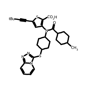 CC1CCC(C(=O)N(c2cc(C#CC(C)(C)C)sc2C(=O)O)C2CCC(Sc3nnc4ccccn34)CC2)CC1